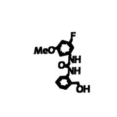 COc1cc(F)cc(NC(=O)Nc2ccccc2CO)c1